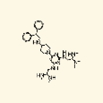 CNC(CNc1nc(NCC(NC)NC)nc(N2CCC(NCC(c3ccccc3)c3ccccc3)CC2)n1)NC